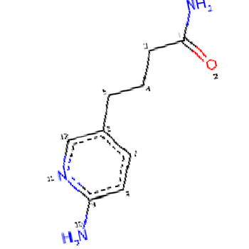 NC(=O)CCCc1ccc(N)nc1